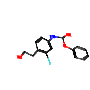 OCCc1ccc(NC(O)Oc2ccccc2)cc1F